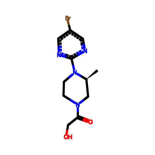 C[C@@H]1CN(C(=O)CO)CCN1c1ncc(Br)cn1